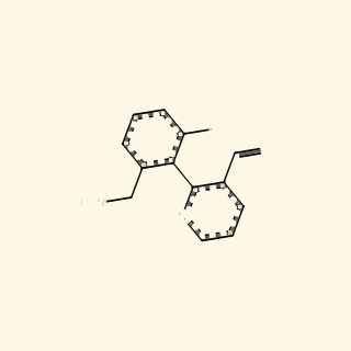 NCc1cccc(C(F)(F)F)c1-c1ncccc1C=S